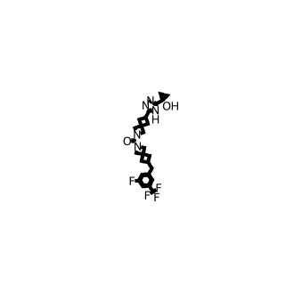 O=C(N1CC2(CC(Cc3cc(F)cc(C(F)(F)F)c3)C2)C1)N1CC2(CC(c3nnc(C4(O)CC4)[nH]3)C2)C1